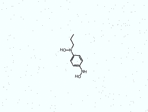 CCCN(O)c1ccc(NO)cc1